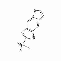 [CH3][Sn]([CH3])([CH3])[c]1cc2cc3sccc3cc2s1